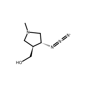 CN1C[C@H](CO)[C@@H](N=[N+]=[N-])C1